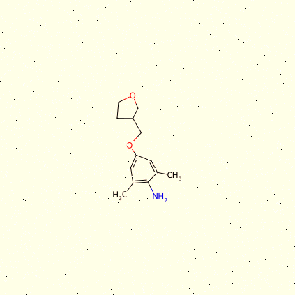 Cc1cc(OCC2CCOC2)cc(C)c1N